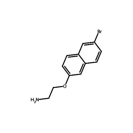 NCCOc1ccc2cc(Br)ccc2c1